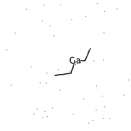 C[CH2][Ga][CH2]C